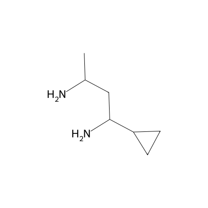 CC(N)CC(N)C1CC1